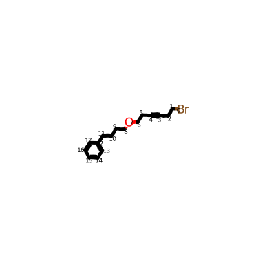 BrCCC#CCCOCCCCc1ccccc1